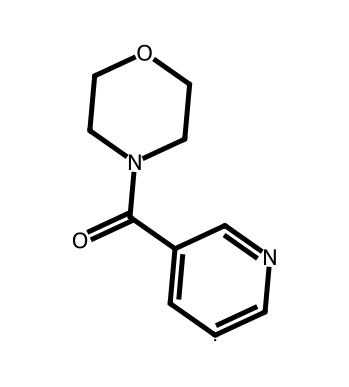 O=C(c1c[c]cnc1)N1CCOCC1